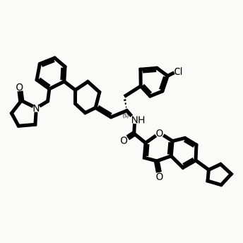 O=C(N[C@H](C=C1CCC(c2ccccc2CN2CCCC2=O)CC1)Cc1ccc(Cl)cc1)c1cc(=O)c2cc(C3CCCC3)ccc2o1